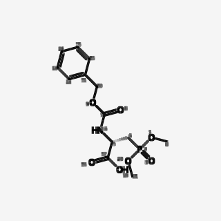 COP(=O)(C[C@@H](NC(=O)OCc1ccccc1)C(=O)O)OC